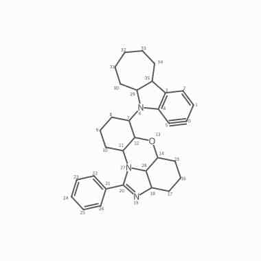 c1ccc2c(c#1)N(C1CCCC3C1OC1CCCC4N=C(c5ccccc5)N3C41)C1CCCCCC21